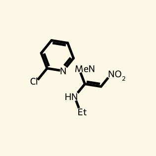 CCNC(=C[N+](=O)[O-])NC.Clc1ccccn1